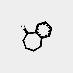 O=C1[C]CCCc2ccccc21